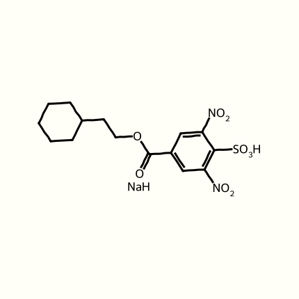 O=C(OCCC1CCCCC1)c1cc([N+](=O)[O-])c(S(=O)(=O)O)c([N+](=O)[O-])c1.[NaH]